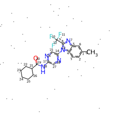 Cc1ccc2c(c1)nc(C(F)(F)F)n2-c1cnc(NC(=O)C2CCCCC2)cn1